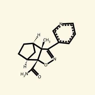 C[C@@]12C(c3cccnc3)=NO[C@]1(C(N)=O)[C@H]1CC[C@@H]2C1